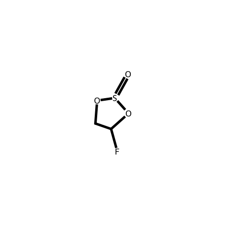 O=S1OCC(F)O1